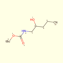 CC(C)(C)OC(=O)NCC(O)CCC#N